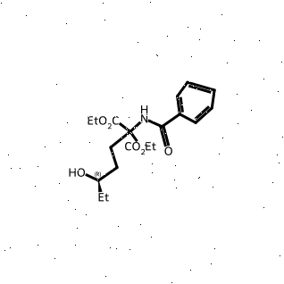 CCOC(=O)C(CC[C@H](O)CC)(NC(=O)c1ccccc1)C(=O)OCC